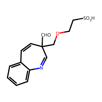 O=CC1(COCCS(=O)(=O)O)C=Cc2ccccc2N=C1